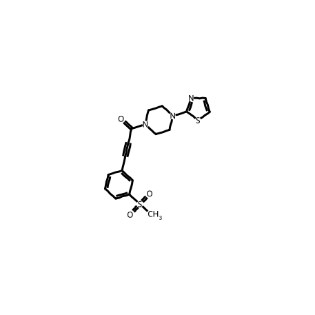 CS(=O)(=O)c1cccc(C#CC(=O)N2CCN(c3nccs3)CC2)c1